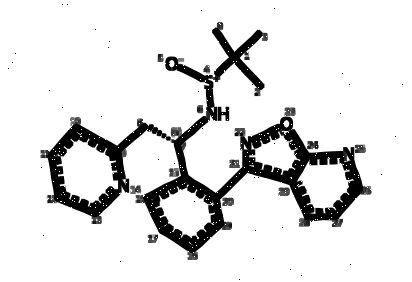 CC(C)(C)[S+]([O-])N[C@@H](Cc1ccccn1)c1ccccc1-c1noc2ncccc12